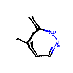 C=C1NN=CC=C1C